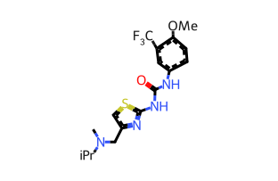 COc1ccc(NC(=O)Nc2nc(CN(C)C(C)C)cs2)cc1C(F)(F)F